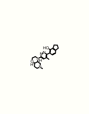 Cc1cc(N2CCO[C@@H]3CCN(C)C[C@@H]32)nnc1-c1ccc2c(c1O)CCC2